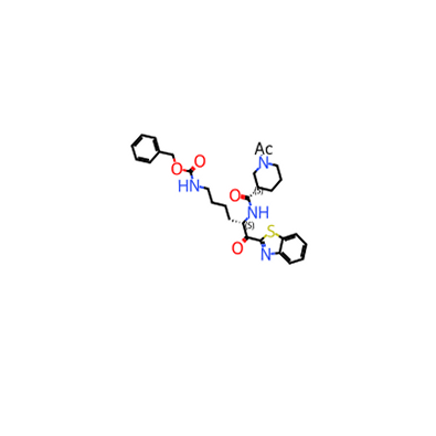 CC(=O)N1CCC[C@H](C(=O)N[C@@H](CCCCNC(=O)OCc2ccccc2)C(=O)c2nc3ccccc3s2)C1